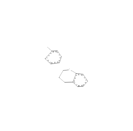 Fc1ccc([C@H]2CCc3ccccc3N2)cc1